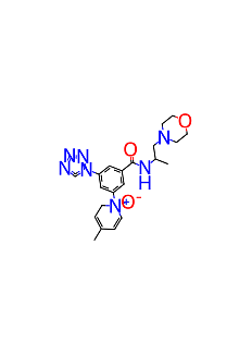 CC1=CC[N+]([O-])(c2cc(C(=O)NC(C)CN3CCOCC3)cc(-n3cnnn3)c2)C=C1